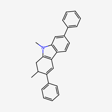 CC1Cc2c(c3ccc(-c4ccccc4)cc3n2C)C=C1c1ccccc1